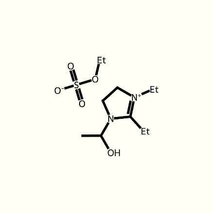 CCC1=[N+](CC)CCN1C(C)O.CCOS(=O)(=O)[O-]